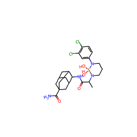 CC(C(=O)NC1C2CC3CC1CC(C(N)=O)(C3)C2)N1CCCN(c2ccc(Cl)c(Cl)c2)S1(O)O